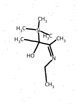 CCN=C(C)C(C)(O)[Si](C)(C)C